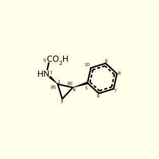 O=C(O)N[C@@H]1C[C@@H]1c1ccccc1